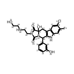 CC12Cc3c([nH]c4cc(F)c(Cl)cc34)C(c3cccc(O)c3)N1C(=O)N(CCNCCO)C2=O